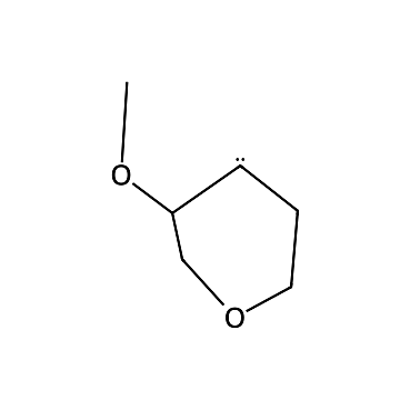 COC1[C]CCOC1